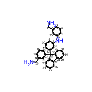 NCc1cccc(Nc2cccc(C3(c4cccc(CN)c4)c4ccccc4-c4ccccc43)c2)c1